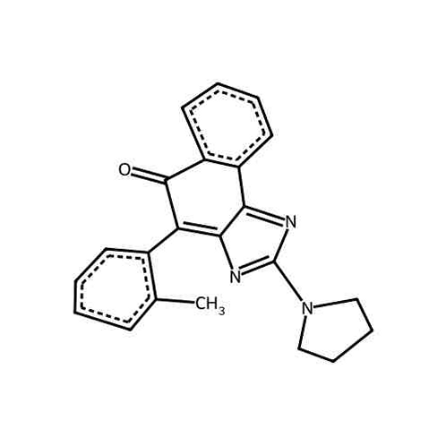 Cc1ccccc1C1=C2N=C(N3CCCC3)N=C2c2ccccc2C1=O